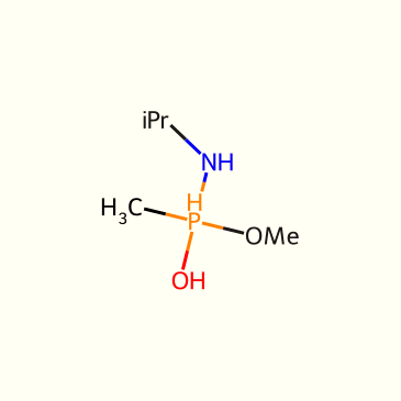 CO[PH](C)(O)NC(C)C